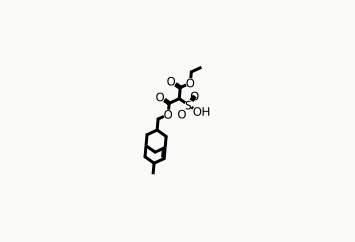 CCOC(=O)C(C(=O)OCC1CC2=CC(C)CC(C2)C1)S(=O)(=O)O